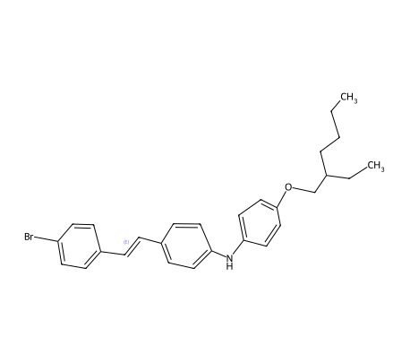 CCCCC(CC)COc1ccc(Nc2ccc(/C=C/c3ccc(Br)cc3)cc2)cc1